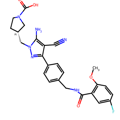 COc1ccc(F)cc1C(=O)NCc1ccc(-c2nn(C[C@@H]3CCN(C(=O)O)C3)c(N)c2C#N)cc1